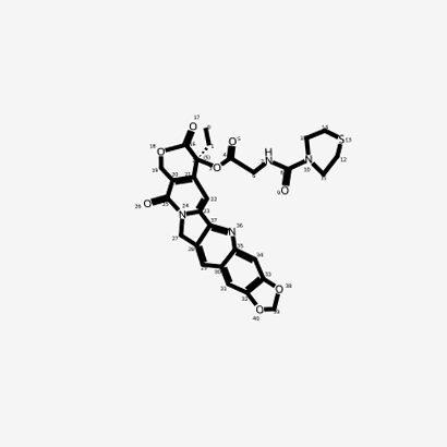 CC[C@@]1(OC(=O)CNC(=O)N2CCSCC2)C(=O)OCc2c1cc1n(c2=O)Cc2cc3cc4c(cc3nc2-1)OCO4